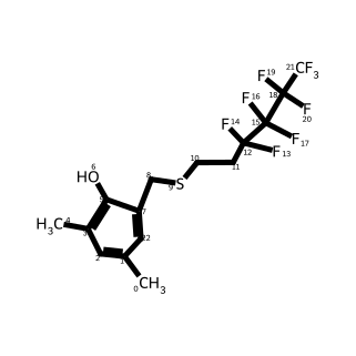 Cc1cc(C)c(O)c(CSCCC(F)(F)C(F)(F)C(F)(F)C(F)(F)F)c1